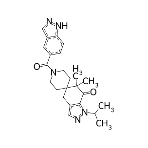 CC(C)n1ncc2c1C(=O)C(C)(C)C1(CCN(C(=O)c3ccc4[nH]ncc4c3)CC1)C2